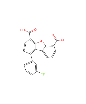 O=C(O)c1cccc2c1oc1c(C(=O)O)ccc(-c3cccc(F)c3)c12